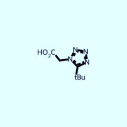 CC(C)(C)c1nnnn1CC(=O)O